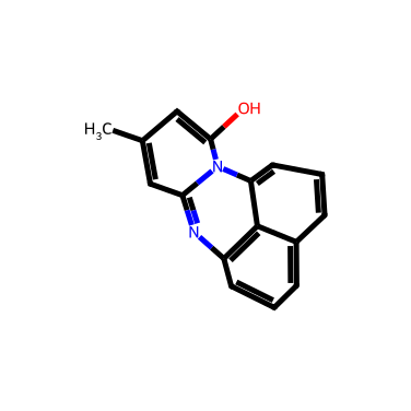 CC1=CC2=Nc3cccc4cccc(c34)N2C(O)=C1